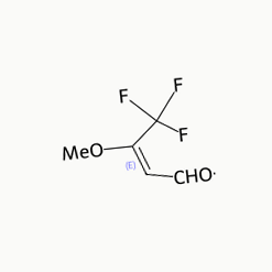 CO/C(=C/[C]=O)C(F)(F)F